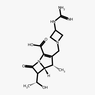 C[C@@H](O)C1C(=O)N2C(C(=O)O)=C(CN3CC(NC(=N)N)C3)[C@H](C)[C@H]12